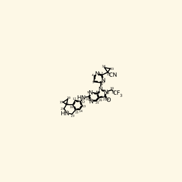 N#CC1(c2nccc(-n3c4nc(Nc5ccc6c(c5)C5(CC5)CNC6)ncc4c(=O)n3CC(F)(F)F)n2)CC1